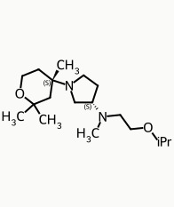 CC(C)OCCN(C)[C@H]1CCN([C@@]2(C)CCOC(C)(C)C2)C1